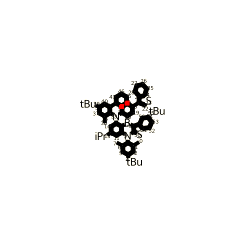 Cc1cc(C(C)(C)C)cc(C)c1N1c2cc(C(C)C)cc3c2B(c2cc(-c4csc5ccccc45)ccc2N3c2c(C)cc(C(C)(C)C)cc2-c2ccccc2)c2c1sc1ccc(C(C)(C)C)cc21